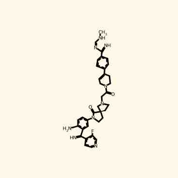 CN/C=N\C(=N)c1ccc(C2=CCN(C(=O)CN3CC[C@]4(CCN(c5ccc(N)c(C(=N)c6ccncc6F)c5)C4=O)C3)CC2)cc1